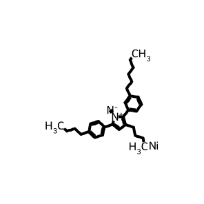 CCCCCCc1cccc(C2=C(CCCC)C=C(c3ccc(CCCC)cc3)[N+]2=[N-])c1.[Ni]